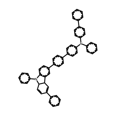 C1=CC2C(C=C1c1ccccc1)c1cc(-c3ccc(-c4ccc(N(c5ccccc5)c5ccc(-c6ccccc6)cc5)cc4)cc3)ccc1N2c1ccccc1